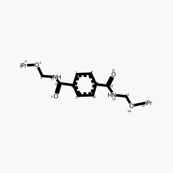 CC(C)OCNC(=O)c1ccc(C(=O)NCOC(C)C)cc1